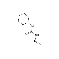 O=NNC(=O)NC1CCCCC1